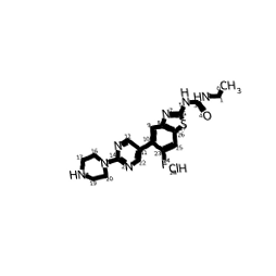 CCNC(=O)Nc1nc2cc(-c3cnc(N4CCNCC4)nc3)c(F)cc2s1.Cl